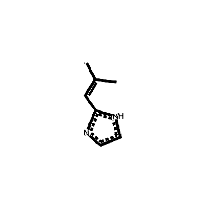 [CH2]C(C)=Cc1ncc[nH]1